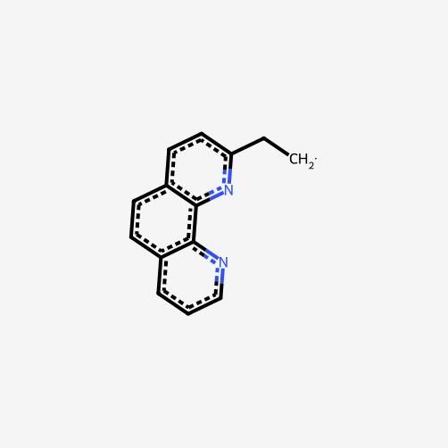 [CH2]Cc1ccc2ccc3cccnc3c2n1